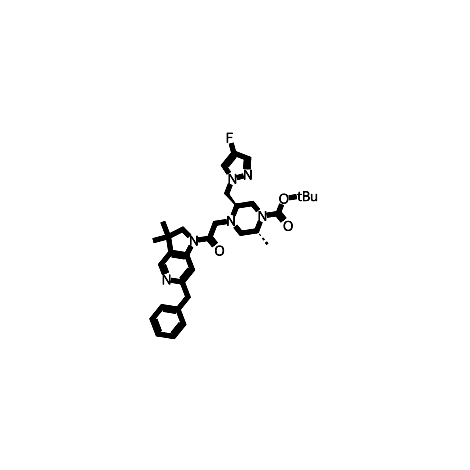 C[C@@H]1CN(CC(=O)N2CC(C)(C)c3cnc(Cc4ccccc4)cc32)[C@@H](Cn2cc(F)cn2)CN1C(=O)OC(C)(C)C